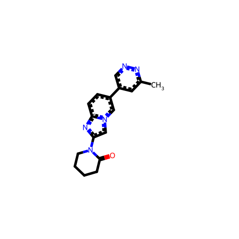 Cc1cc(-c2ccc3nc(N4CCCCC4=O)cn3c2)cnn1